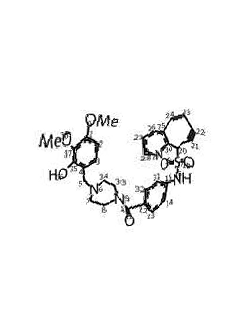 COc1ccc(CN2CCN(C(=O)c3ccc(NS(=O)(=O)C4C#CC=Cc5cccnc54)cc3)CC2)c(O)c1OC